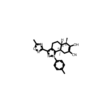 Cc1ccc(-n2nc(-c3noc(C)n3)c3c2[C@]2(C)CC(C#N)=C(O)[C@H](C)[C@H]2CC3)cc1